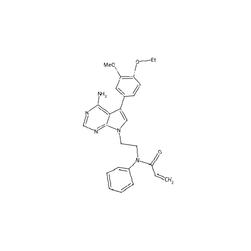 C=CC(=O)N(CCn1cc(-c2ccc(OCC)c(OC)c2)c2c(N)ncnc21)c1ccccc1